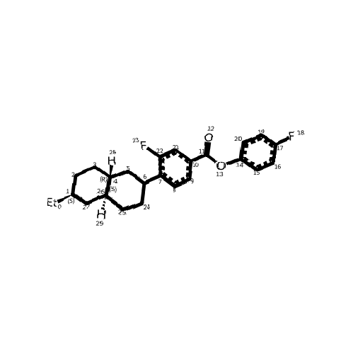 CC[C@H]1CC[C@@H]2CC(c3ccc(C(=O)Oc4ccc(F)cc4)cc3F)CC[C@H]2C1